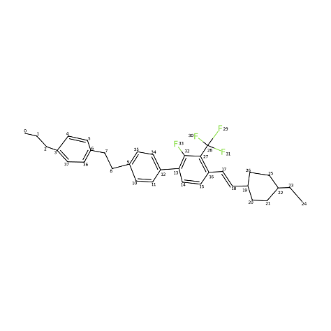 CCCc1ccc(CCc2ccc(-c3ccc(/C=C/C4CCC(CC)CC4)c(C(F)(F)F)c3F)cc2)cc1